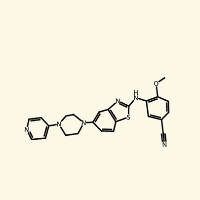 COc1ccc(C#N)cc1Nc1nc2cc(N3CCN(c4ccncc4)CC3)ccc2s1